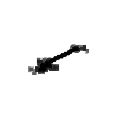 COC(=O)CCCCCCCCCCCCCCCOC1C(O)[C@H](n2cnc3c(N)ncnc32)O[C@@H]1CO